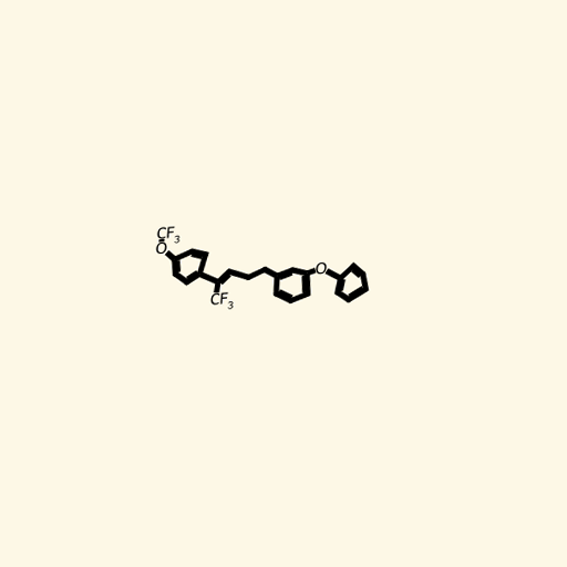 FC(F)(F)Oc1ccc(C(=CCCc2cccc(Oc3ccccc3)c2)C(F)(F)F)cc1